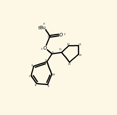 CC(C)(C)C(=O)OC(c1ccccc1)C1CCCC1